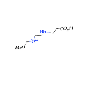 COCNCCNCCC(=O)O